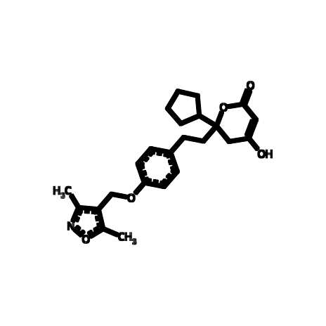 Cc1noc(C)c1COc1ccc(CCC2(C3CCCC3)CC(O)=CC(=O)O2)cc1